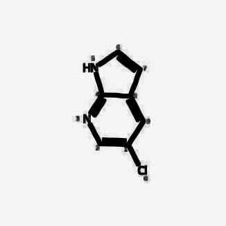 Clc1cnc2[nH]c[c]c2c1